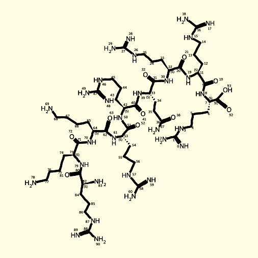 N=C(N)NCCC[C@H](NC(=O)[C@H](CCCNC(=N)N)NC(=O)[C@H](CCCNC(=N)N)NC(=O)[C@H](CCC(N)=O)NC(=O)[C@H](CCCNC(=N)N)NC(=O)[C@H](CCCNC(=N)N)NC(=O)[C@H](CCCCN)NC(=O)[C@H](CCCCN)NC(=O)[C@@H](N)CCCNC(=N)N)C(=O)O